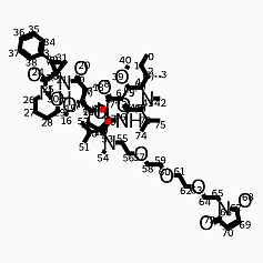 CC[C@H](C)[C@@H]([C@@H](CC(=O)N1CCC[C@H]1[C@H](OC)[C@@H](C)C(=O)N[C@@]1(C(=O)N2CCCCO2)C[C@@H]1c1ccccc1)OC)N(C)[C@H](C(=O)NC(=O)[C@H](C(C)C)N(C)CCOCCOCCOCCN1C(=O)C=CC1=O)C(C)C